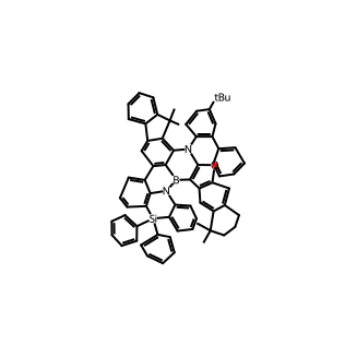 CC(C)(C)c1ccc(N2c3oc4cc5c(cc4c3B3c4c(cc6c(c42)C(C)(C)c2ccccc2-6)-c2cccc4c2N3c2ccccc2[Si]4(c2ccccc2)c2ccccc2)C(C)(C)CCC5)c(-c2ccccc2)c1